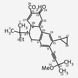 CCC(C)(C)N1Cc2cc(C#CC(C)(C)OC)c(C3CC3)cc2-c2cc(=O)c(C(=O)O)cn21